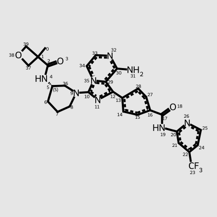 CC1(C(=O)N[C@H]2CCCN(c3nc(-c4ccc(C(=O)Nc5cc(C(F)(F)F)ccn5)cc4)c4c(N)nccn34)C2)COC1